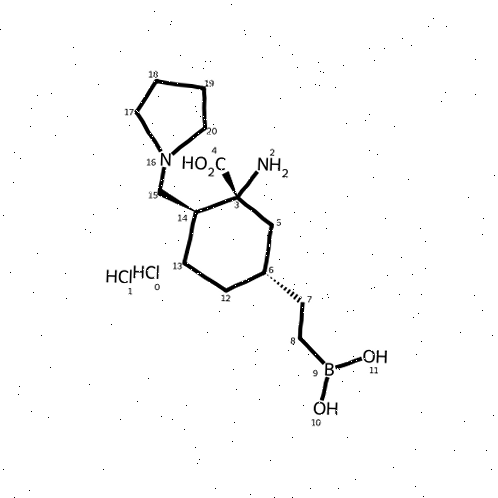 Cl.Cl.N[C@]1(C(=O)O)C[C@H](CCB(O)O)CC[C@H]1CN1CCCC1